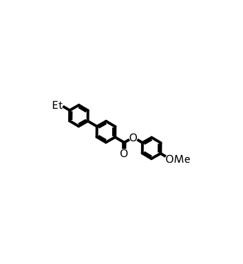 CCc1ccc(-c2ccc(C(=O)Oc3ccc(OC)cc3)cc2)cc1